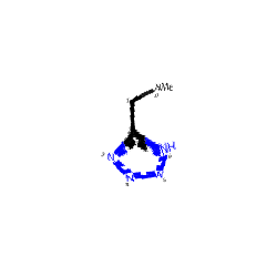 CNCc1nnn[nH]1